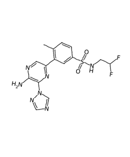 Cc1ccc(S(=O)(=O)NCC(F)F)cc1-c1cnc(N)c(-n2cncn2)n1